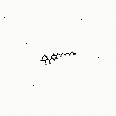 Cc1cccc(C(=O)c2ccc(OCCCCCCBr)cc2)c1C